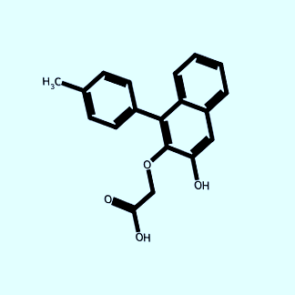 Cc1ccc(-c2c(OCC(=O)O)c(O)cc3ccccc23)cc1